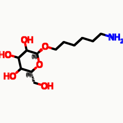 NCCCCCCO[C@H]1O[C@H](CO)C(O)C(O)C1O